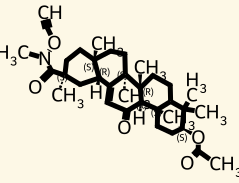 C#CON(C)C(=O)[C@@]1(C)CC[C@]2(C)CC[C@]3(C)C(=CC(=O)[C@@H]4[C@@]5(C)CC[C@H](OC(C)=O)C(C)(C)C5CC[C@]43C)[C@@H]2C1